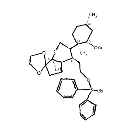 CC(=O)O[C@H]1C[C@@H](C)CC[C@]1(C)C1CC[C@@]2(C)C(CCC23OCCO3)[C@@H]1CCO[Si](c1ccccc1)(c1ccccc1)C(C)(C)C